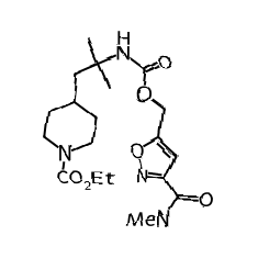 CCOC(=O)N1CCC(CC(C)(C)NC(=O)OCc2cc(C(=O)NC)no2)CC1